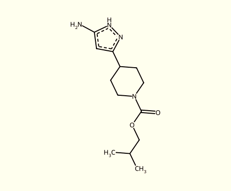 CC(C)COC(=O)N1CCC(c2cc(N)[nH]n2)CC1